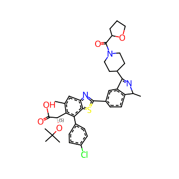 Cc1cc2nc(-c3ccc4c(c3)C(C3CCN(C(=O)C5CCCO5)CC3)=NC4C)sc2c(-c2ccc(Cl)cc2)c1[C@H](OC(C)(C)C)C(=O)O